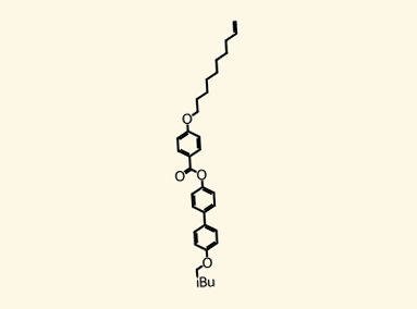 C=CCCCCCCCCOc1ccc(C(=O)Oc2ccc(-c3ccc(OCC(C)CC)cc3)cc2)cc1